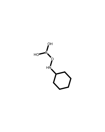 OB(O)ONC1CCCCC1